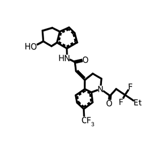 CCC(F)(F)CC(=O)N1CC/C(=C\C(=O)Nc2cccc3c2CC(O)CC3)c2ccc(C(F)(F)F)cc21